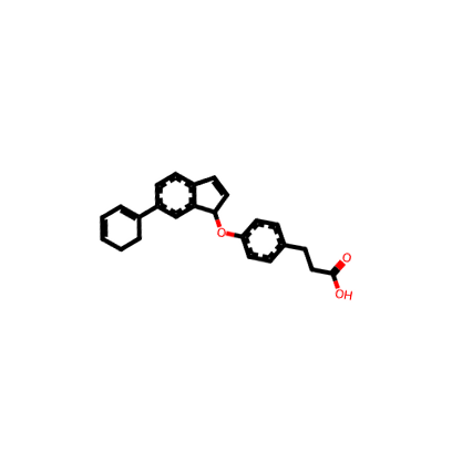 O=C(O)CCc1ccc(OC2C=Cc3ccc(C4=CC=CCC4)cc32)cc1